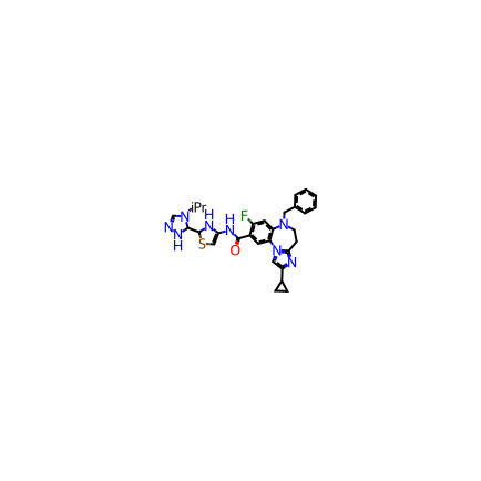 CC(C)N1C=NNC1C1NC(NC(=O)c2cc3c(cc2F)N(Cc2ccccc2)CCc2nc(C4CC4)cn2-3)=CS1